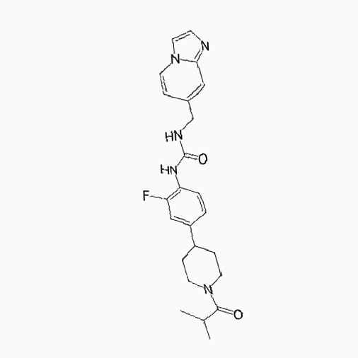 CC(C)C(=O)N1CCC(c2ccc(NC(=O)NCc3ccn4ccnc4c3)c(F)c2)CC1